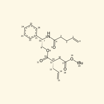 C=CCCC(=O)N[C@H](COC(=O)[C@@H](CC=C)CC(=O)OC(C)(C)C)c1ccccc1